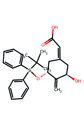 C=C1[C@H](O)CC(=CC(=O)O)C[C@H]1O[Si](c1ccccc1)(c1ccccc1)C(C)(C)C